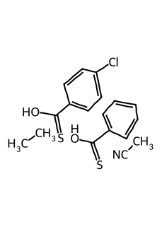 CC.CC#N.OC(=S)c1ccc(Cl)cc1.OC(=S)c1ccccc1